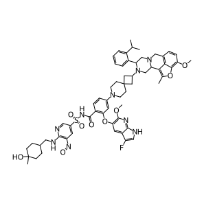 COc1nc2[nH]cc(F)c2cc1Oc1cc(N2CCC3(CC2)CC(N2CC4c5c(C)oc6c(OC)ccc(c56)CN4CC2c2ccccc2C(C)C)C3)ccc1C(=O)NS(=O)(=O)c1cnc(NCC2CCC(C)(O)CC2)c(N=O)c1